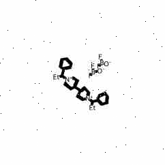 CCC(c1ccccc1)[n+]1ccc(-c2cc[n+](C(CC)c3ccccc3)cc2)cc1.[O-]B(F)F.[O-]B(F)F